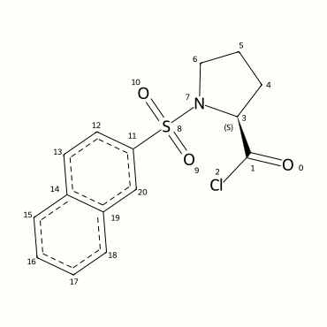 O=C(Cl)[C@@H]1CCCN1S(=O)(=O)c1ccc2ccccc2c1